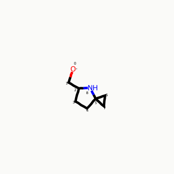 [O]CC1CCC2(CC2)N1